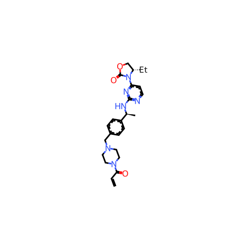 C=CC(=O)N1CCN(Cc2ccc([C@H](C)Nc3nccc(N4C(=O)OC[C@@H]4CC)n3)cc2)CC1